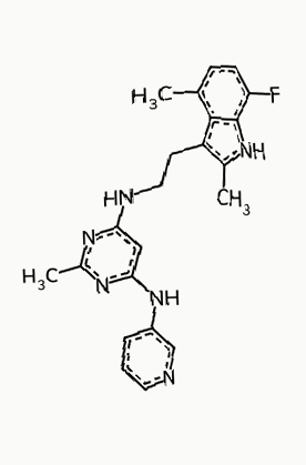 Cc1nc(NCCc2c(C)[nH]c3c(F)ccc(C)c23)cc(Nc2cccnc2)n1